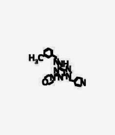 Cc1cccc(C=NNc2nc(N3CCOCC3)nc3c2ncn3Cc2ccncc2)c1